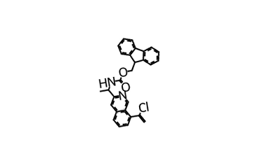 C=C(Cl)c1cccc2cc(C(C)NC(=O)OCC3c4ccccc4-c4ccccc43)ncc12